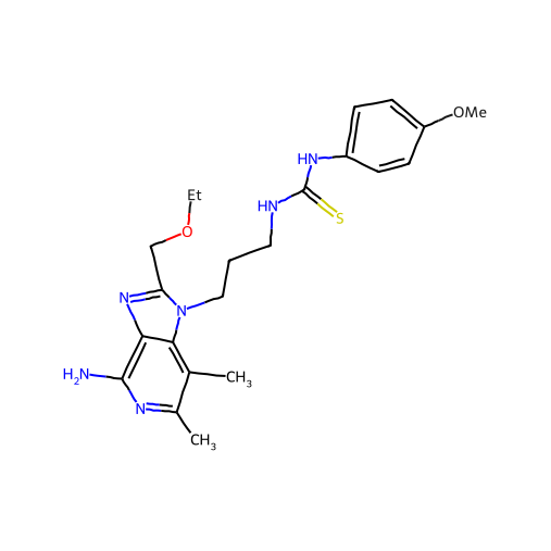 CCOCc1nc2c(N)nc(C)c(C)c2n1CCCNC(=S)Nc1ccc(OC)cc1